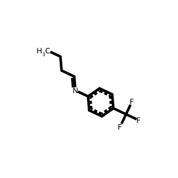 CCCC=Nc1ccc(C(F)(F)F)cc1